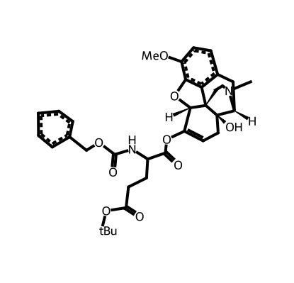 COc1ccc2c3c1O[C@H]1C(OC(=O)C(CCC(=O)OC(C)(C)C)NC(=O)OCc4ccccc4)=CC[C@@]4(O)[C@@H](C2)N(C)CC[C@]314